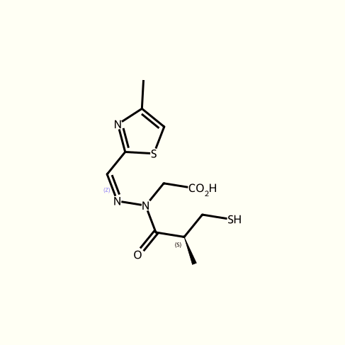 Cc1csc(/C=N\N(CC(=O)O)C(=O)[C@H](C)CS)n1